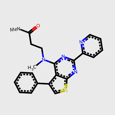 CNC(=O)CCN(C)c1nc(-c2ccccn2)nc2scc(-c3ccccc3)c12